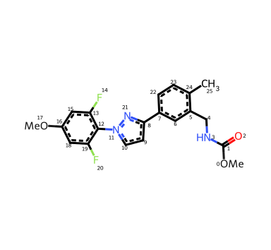 COC(=O)NCc1cc(-c2ccn(-c3c(F)cc(OC)cc3F)n2)ccc1C